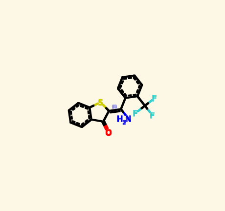 N/C(=C1/Sc2ccccc2C1=O)c1ccccc1C(F)(F)F